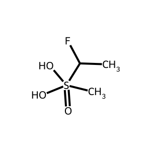 CC(F)S(C)(=O)(O)O